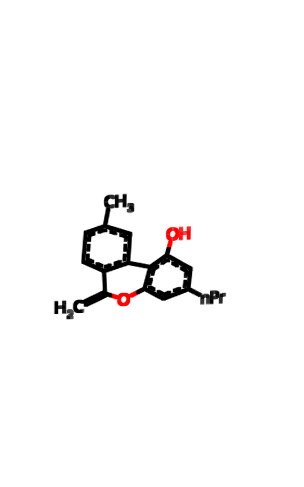 C=C1Oc2cc(CCC)cc(O)c2-c2cc(C)ccc21